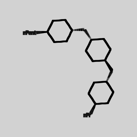 CCCCC[C@H]1CC[C@H](C[C@H]2CC[C@H](C[C@H]3CC[C@H](CCC)CC3)CC2)CC1